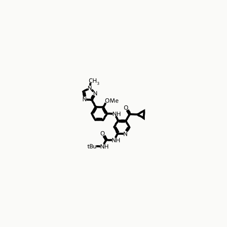 COc1c(Nc2cc(NC(=O)NC(C)(C)C)ncc2C(=O)C2CC2)cccc1-c1ncn(C)n1